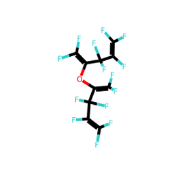 FC(F)=C(F)C(F)(F)C(OC(=C(F)F)C(F)(F)C(F)=C(F)F)=C(F)F